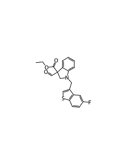 CCOC(=O)C1(C=O)CN(Cc2csc3ccc(F)cc23)c2ccccc21